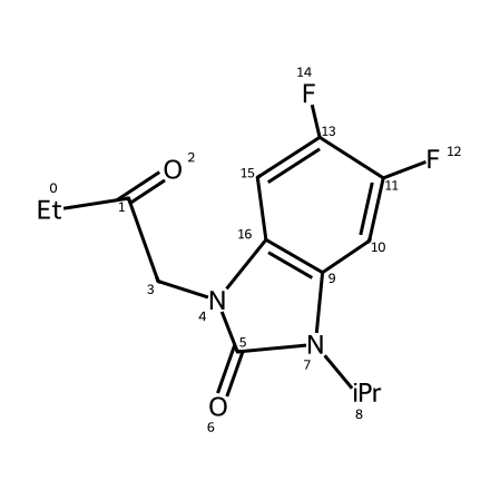 CCC(=O)Cn1c(=O)n(C(C)C)c2cc(F)c(F)cc21